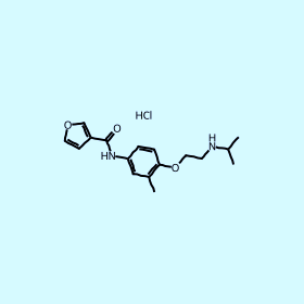 Cc1cc(NC(=O)c2ccoc2)ccc1OCCNC(C)C.Cl